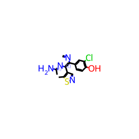 C=N/C(=C(\N=C(/C)N)c1cnsc1C)c1ccc(O)c(Cl)c1